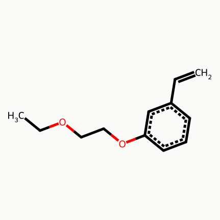 C=Cc1cccc(OCCOCC)c1